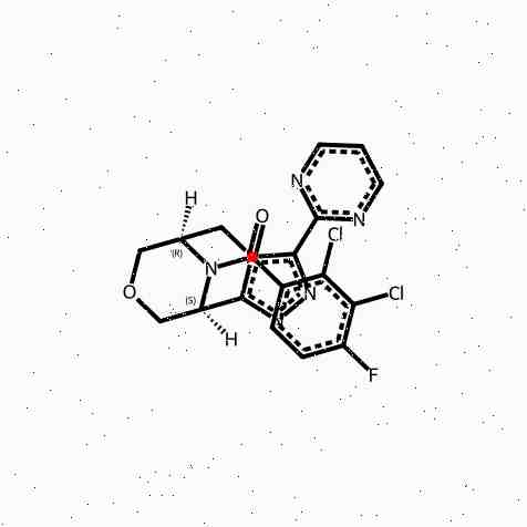 O=C(c1ccc(F)c(Cl)c1Cl)N1[C@H]2COC[C@@H]1c1nnc(-c3ncccn3)n1C2